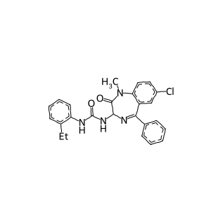 CCc1ccccc1NC(=O)NC1N=C(c2ccccc2)c2cc(Cl)ccc2N(C)C1=O